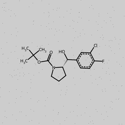 CC(C)(C)OC(=O)N1CCC[C@H]1C(O)c1ccc(F)c(Cl)c1